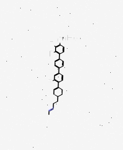 C/C=C/CCC1CC=C(c2ccc(-c3ccc(-c4ccc(OCCCCCC)c(F)c4F)cc3)cc2F)CC1